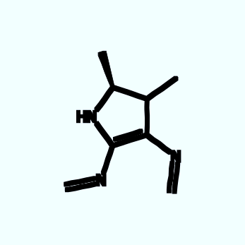 C=NC1=C(N=C)C(C)[C@H](C)N1